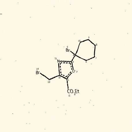 CCOC(=O)c1oc(C2(Br)CCCCC2)nc1CBr